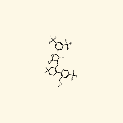 COCc1cc(C(F)(F)F)ccc1C1=C(CN2C(=O)O[C@H](c3cc(C(F)(F)F)cc(C(F)(F)F)c3)[C@@H]2C)CC(C)(C)CC1